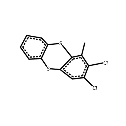 Cc1c(Cl)c(Cl)cc2c1Sc1ccccc1S2